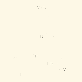 CCc1cccc(-c2c(Cl)cccc2C(O)(CCCNC(=O)OC)C2CCCN(C(=O)c3ccc(CNC)cc3)C2)c1